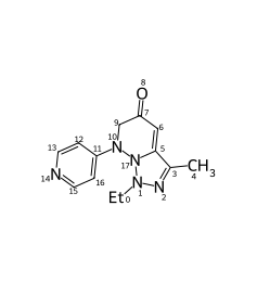 CCN1N=C(C)C2=CC(=O)CN(c3ccncc3)N21